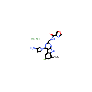 CNc1cc(F)cc2c1[nH]c1nc(CNC(=O)c3cocn3)nc(N3CCC(N)C3)c12.Cl.Cl